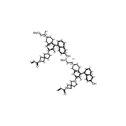 C=CC(=O)N1CC2(CCN(c3nc4c(c(-c5cccc6cc(O)ccc56)c3C)CCN([C@@H](C)COC)C4)C2)C1.C=CC(=O)N1CC2(CCN(c3nc4c(c(-c5cccc6cc(O)ccc56)c3C)CCN([C@H](C)COC)C4)C2)C1